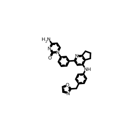 Nc1ccn(-c2cccc(-c3cc(Nc4ccc(Cc5ncco5)cc4)c4c(n3)CCC4)c2)c(=O)n1